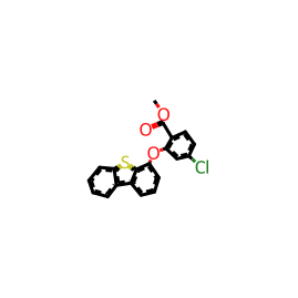 COC(=O)c1ccc(Cl)cc1Oc1cccc2c1sc1ccccc12